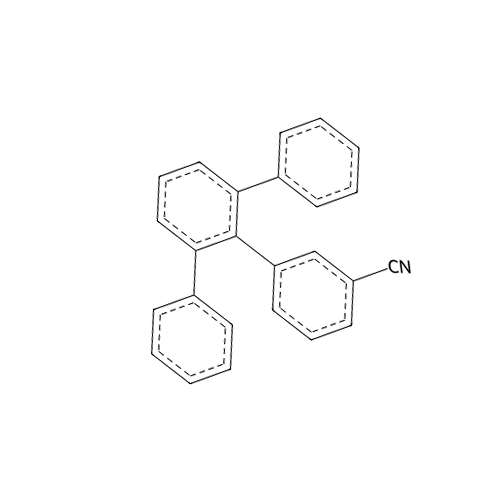 N#Cc1cccc(-c2c(-c3ccccc3)cccc2-c2ccccc2)c1